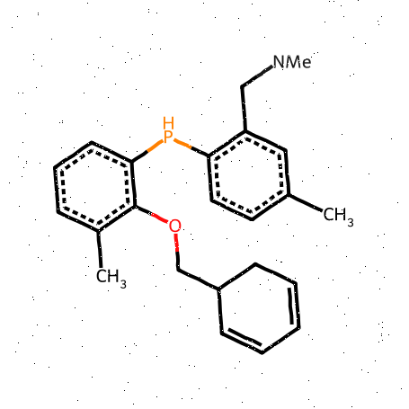 CNCc1cc(C)ccc1Pc1cccc(C)c1OCC1C=CC=CC1